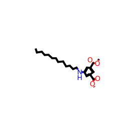 CCCCCCCCCCCCCNc1cc(C(=O)OC)cc(C(=O)OC)c1